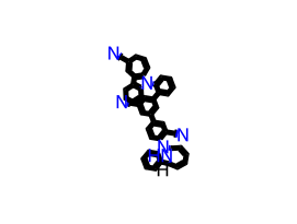 N#CC1=Cc2c3c(n(-c4ccccc4-c4cc(C#N)cc(-c5ccc(N6c7ccccc7[C@@H]7C=CC=CC6N7)c(C#N)c5)c4)c2C=CC1)C=CCC3